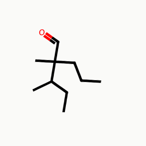 CCCC(C)(C=O)C(C)CC